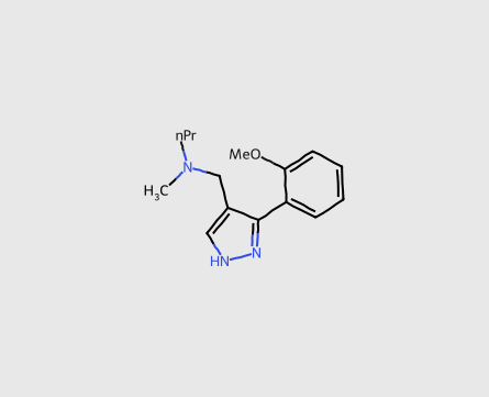 CCCN(C)Cc1c[nH]nc1-c1ccccc1OC